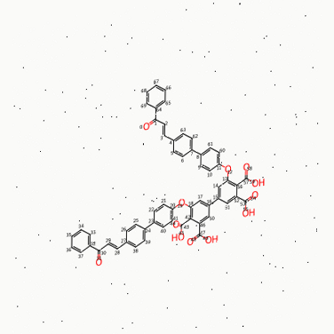 O=C(C=Cc1ccc(-c2ccc(Oc3cc(-c4cc(Oc5ccc(-c6ccc(C=CC(=O)c7ccccc7)cc6)cc5)c(C(=O)O)c(C(=O)O)c4)cc(C(=O)O)c3C(=O)O)cc2)cc1)c1ccccc1